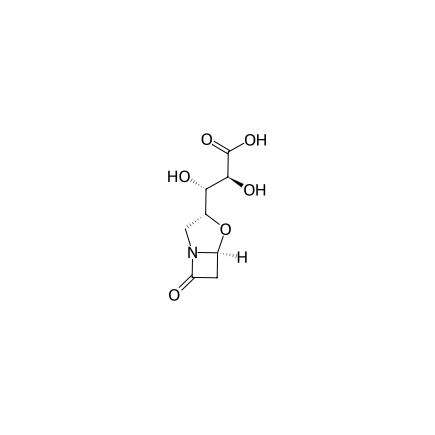 O=C(O)[C@@H](O)[C@@H](O)[C@H]1CN2C(=O)C[C@@H]2O1